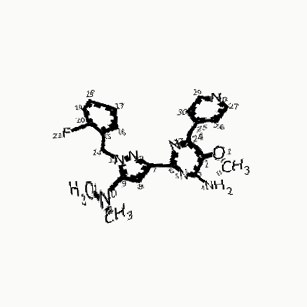 COc1c(N)nc(-c2cc(N(C)C)n(Cc3ccccc3F)n2)nc1-c1ccncc1